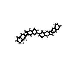 C1=CC2=Cc3sc4cc5ccccc5cc4c3CC2C=C1c1ccc2cc3sc4cc5ccccc5cc4c3cc2c1